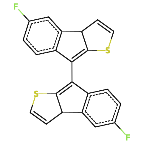 Fc1ccc2c(c1)C1C=CSC1=C2C1=C2SC=CC2c2cc(F)ccc21